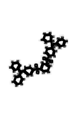 O=S(=O)(c1ccc(N(c2ccccc2)c2ccccc2)cc1)c1cccc(S(=O)(=O)c2ccc(N(c3ccccc3)c3ccccc3)cc2)c1